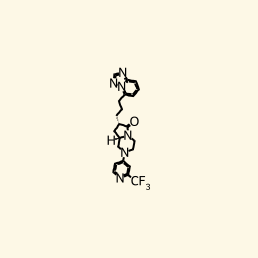 O=C1[C@@H](CCCc2cccc3ncnn23)C[C@H]2CN(c3ccnc(C(F)(F)F)c3)CCN12